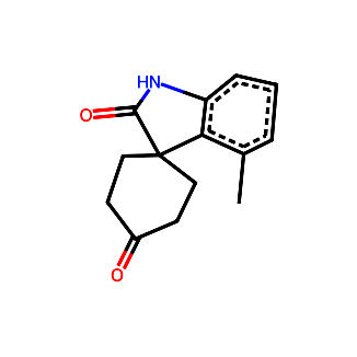 Cc1cccc2c1C1(CCC(=O)CC1)C(=O)N2